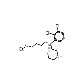 CCOCCCC[C@H](c1cccc(Cl)c1Cl)[C@H]1CCCNC1